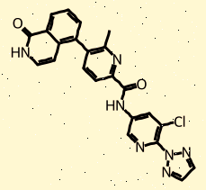 Cc1nc(C(=O)Nc2cnc(-n3nccn3)c(Cl)c2)ccc1-c1cccc2c(=O)[nH]ccc12